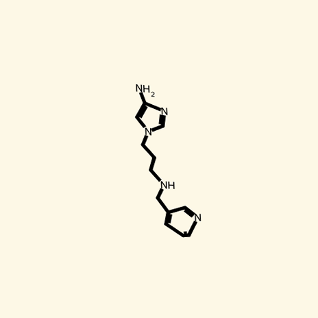 Nc1cn(CCCNCc2cccnc2)cn1